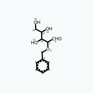 O=CC(OCc1ccccc1)C(O)C(O)CO